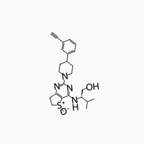 C#Cc1cccc(C2CCN(c3nc4c(c(N[C@@H](CO)C(C)C)n3)[S+]([O-])CC4)CC2)c1